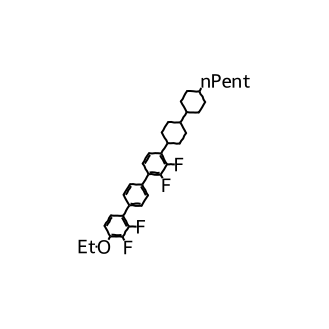 CCCCCC1CCC(C2CCC(c3ccc(-c4ccc(-c5ccc(OCC)c(F)c5F)cc4)c(F)c3F)CC2)CC1